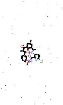 C#C/C=C(\C=C/C)c1oc2c([C@@H](C)Nc3ccc(Cl)nc3C(=O)NOC)cc(C)cc2c(=O)c1C